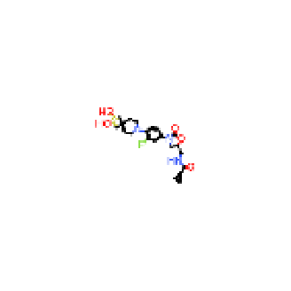 O=C(NC[C@H]1CN(c2ccc(N3CCC4(CC3)CS(O)(O)C4)c(F)c2)C(=O)O1)C1CC1